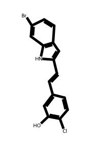 Oc1cc(C=Cc2cc3ccc(Br)cc3[nH]2)ccc1Cl